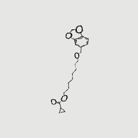 O=C(OCCCCCCCCOCc1ccc2c(c1)OCO2)C1CC1